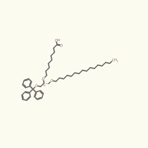 CCCCCCCCCCCCCCCCOC[C@H](COC(c1ccccc1)(c1ccccc1)c1ccccc1)OCCCCCCCCC(=O)O